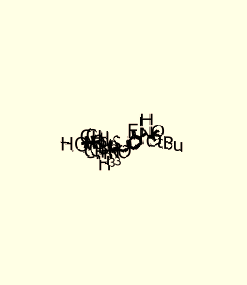 CC(C)(C)OC(=O)Nc1ccc(Oc2nc(BOC(C)(C)C(C)(C)O)cs2)cc1F